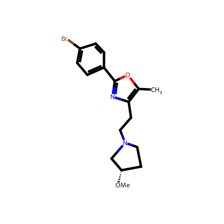 CO[C@H]1CCN(CCc2nc(-c3ccc(Br)cc3)oc2C)C1